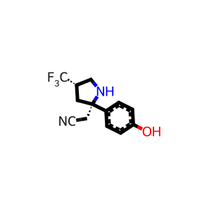 N#CC[C@]1(c2ccc(O)cc2)C[C@H](C(F)(F)F)CN1